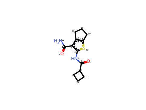 NC(=O)c1c(NC(=O)C2CCC2)sc2c1CCC2